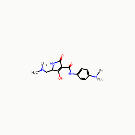 CCCCN(CC)c1ccc(NC(=O)C2=C(O)C(CN(C)C)NC2=O)cc1